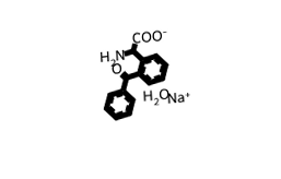 NC(C(=O)[O-])c1ccccc1C(=O)c1ccccc1.O.[Na+]